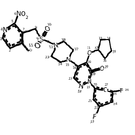 Cc1ccnc([N+](=O)[O-])c1CS(=O)(=O)N1CCN(c2cnn(-c3cc(F)cc(F)c3)c(=O)c2OC2CCCC2)CC1